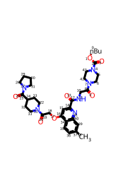 CCCCOC(=O)N1CCN(C(=O)CNC(=O)c2cc(OCC(=O)N3CCC(C(=O)N4CCCC4)CC3)c3ccc(C)cc3n2)CC1